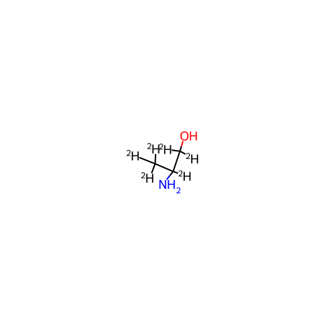 [2H]C([2H])([2H])C([2H])(N)C([2H])([2H])O